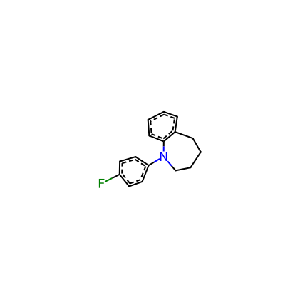 Fc1ccc(N2CCCCc3ccccc32)cc1